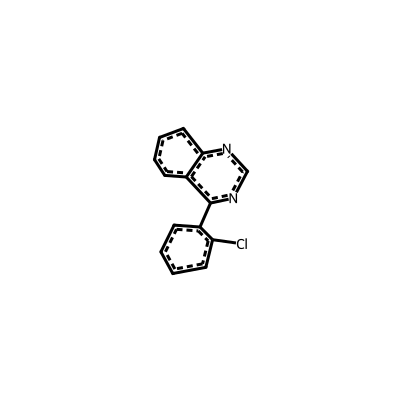 Clc1ccccc1-c1ncnc2ccccc12